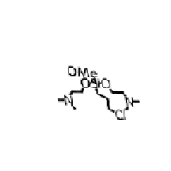 CO[Si](CCCCl)(OCCN(C)C)OCCN(C)C